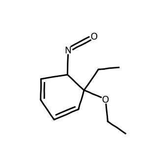 CCOC1(CC)C=CC=CC1N=O